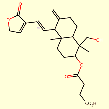 C=C1CCC2C(C)(CO)C(OC(=O)CCC(=O)O)CCC2(C)C1/C=C/C1=CCOC1=O